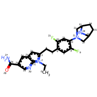 CCn1c(CCc2cc(F)c(N3CC4CCC(C3)N4)cc2F)cc2cc(C(N)=O)cnc21